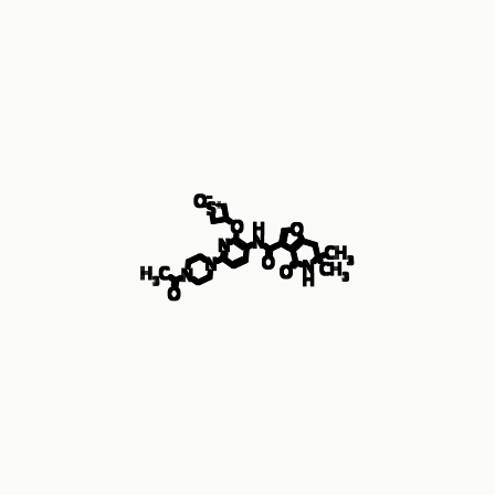 CC(=O)N1CCN(c2ccc(NC(=O)c3coc4c3C(=O)NC(C)(C)C4)c(OC3C[S+]([O-])C3)n2)CC1